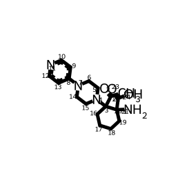 CC(=O)C1(N2CCN(c3ccncc3)CC2)CCCCC1(N)C(=O)O